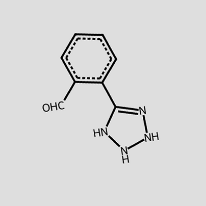 O=Cc1ccccc1C1=NNNN1